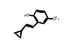 Oc1ccc(C(F)(F)F)cc1/C=C/C1CC1